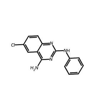 Nc1nc(Nc2ccccc2)nc2ccc(Cl)cc12